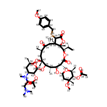 CC[C@H]1OC(=O)[C@H](C)[C@@H](O[C@H]2C[C@@](C)(OC)[C@@H](OC(C)=O)[C@H](C)O2)[C@H](C)[C@@H](O[C@@H]2O[C@H](C)C[C@H](N(C)C(=O)CN(C)C)[C@H]2OC(C)=O)[C@](C)(OC)C[C@@H](C)C(=O)[C@H](C)[C@H]2C(SCc3ccc(OC)cc3)C(=O)O[C@@]21C